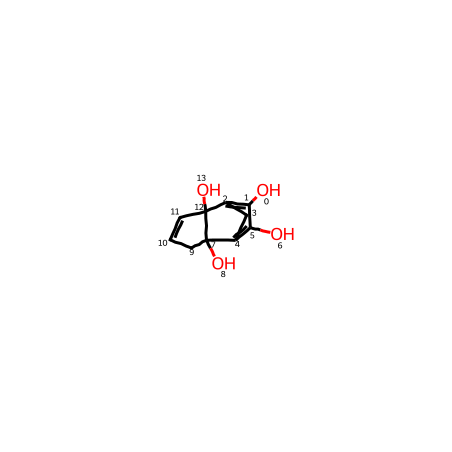 OC1=C2CC(=C1O)C1(O)CC=CC21O